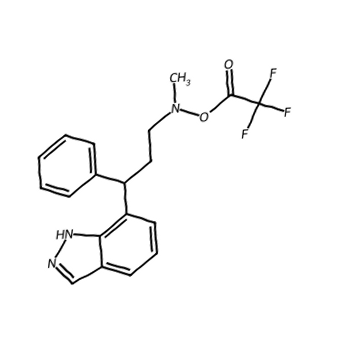 CN(CCC(c1ccccc1)c1cccc2cn[nH]c12)OC(=O)C(F)(F)F